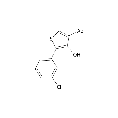 CC(=O)c1csc(-c2cccc(Cl)c2)c1O